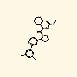 CCC(=O)NC(C(=O)N1CCCC1c1ccnc(-c2cc(C)cc(C)c2)c1)C1CCCCC1